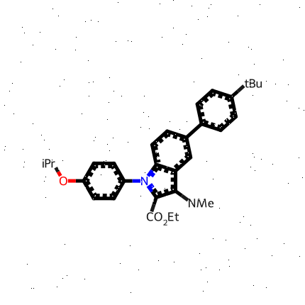 CCOC(=O)c1c(NC)c2cc(-c3ccc(C(C)(C)C)cc3)ccc2n1-c1ccc(OC(C)C)cc1